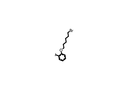 BrCCCCCCOc1ccccc1I